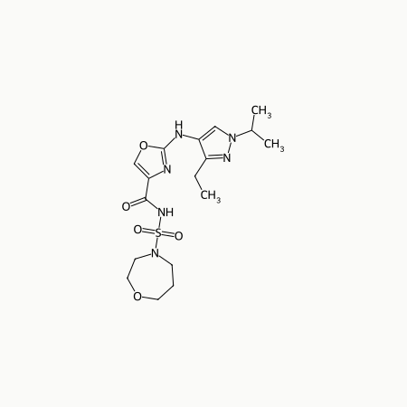 CCc1nn(C(C)C)cc1Nc1nc(C(=O)NS(=O)(=O)N2CCCOCC2)co1